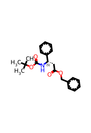 CC(C)(C)OC(=O)N[C@@H](CC(=O)OCc1ccccc1)c1ccccc1